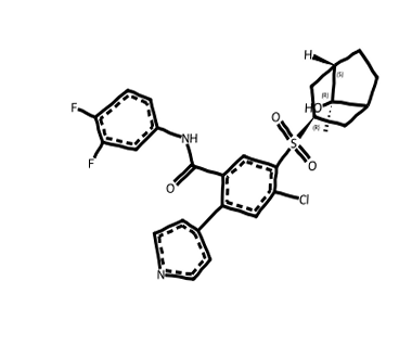 C[C@@]1(O)C2CC[C@H]1C[C@H](S(=O)(=O)c1cc(C(=O)Nc3ccc(F)c(F)c3)c(-c3ccncc3)cc1Cl)C2